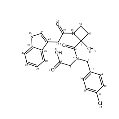 CC1(C(=O)N(CC(=O)O)Cc2ccc(Cl)cc2)CCN1C(=O)Cc1csc2ccccc12